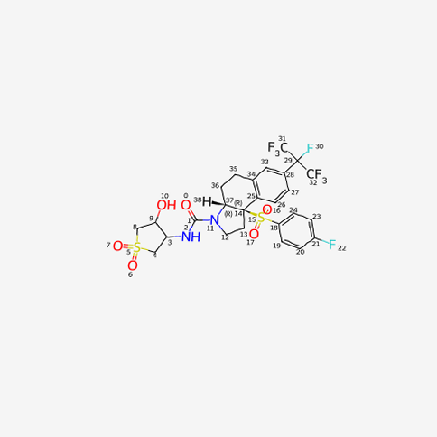 O=C(NC1CS(=O)(=O)CC1O)N1CC[C@@]2(S(=O)(=O)c3ccc(F)cc3)c3ccc(C(F)(C(F)(F)F)C(F)(F)F)cc3CC[C@@H]12